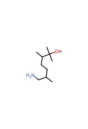 CC(CN)CCC(C)C(C)(C)O